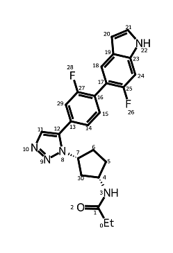 CCC(=O)N[C@H]1CC[C@@H](n2nncc2-c2ccc(-c3cc4cc[nH]c4cc3F)c(F)c2)C1